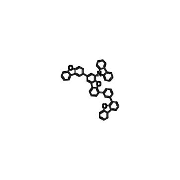 c1cc(-c2cccc3c2oc2ccccc23)cc(-c2cccc3c2oc2c(-n4c5ccccc5c5ccccc54)cc(-c4ccc5oc6ccccc6c5c4)cc23)c1